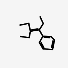 CCC(CC)=C(CC)c1ccccc1